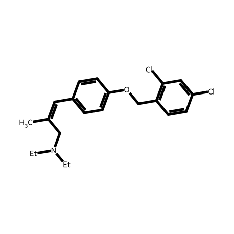 CCN(CC)C/C(C)=C\c1ccc(OCc2ccc(Cl)cc2Cl)cc1